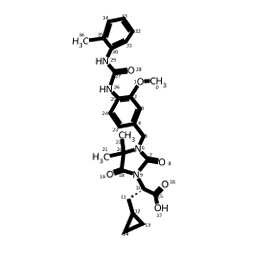 COc1cc(CN2C(=O)N([C@@H](CC3CC3)C(=O)O)C(=O)C2(C)C)ccc1NC(=O)Nc1ccccc1C